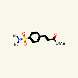 CCN(CC)S(=O)(=O)c1ccc(C=CC(=O)OC)cc1